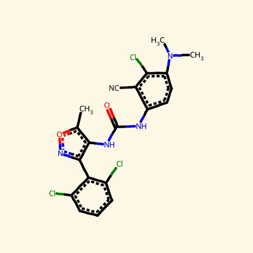 Cc1onc(-c2c(Cl)cccc2Cl)c1NC(=O)Nc1ccc(N(C)C)c(Cl)c1C#N